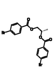 C[C@@H](COC(=O)c1ccc(Br)cc1)OC(=O)c1ccc(Br)cc1